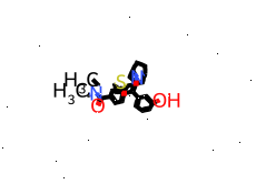 CCN(CC)C(=O)c1ccc(C(=C2CC3CCC(C2)N3Cc2cccs2)c2cccc(O)c2)cc1